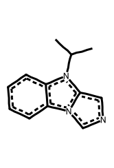 CC(C)n1c2ccccc2n2cncc12